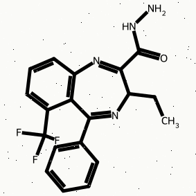 CCC1N=C(c2ccccc2)c2c(cccc2C(F)(F)F)N=C1C(=O)NN